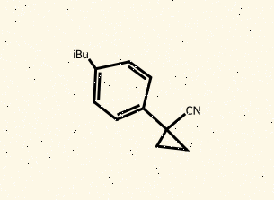 CCC(C)c1ccc(C2(C#N)CC2)cc1